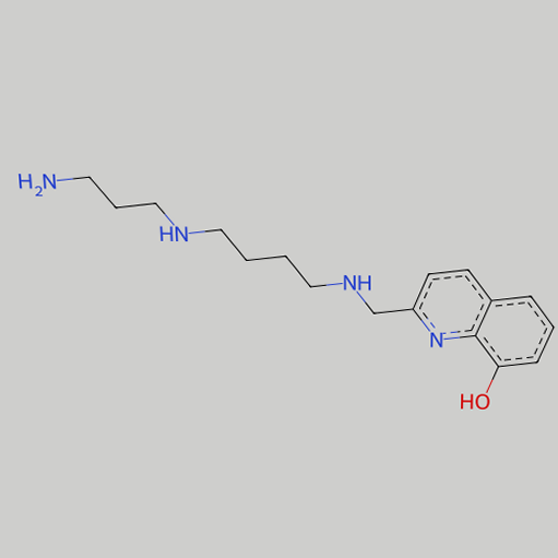 NCCCNCCCCNCc1ccc2cccc(O)c2n1